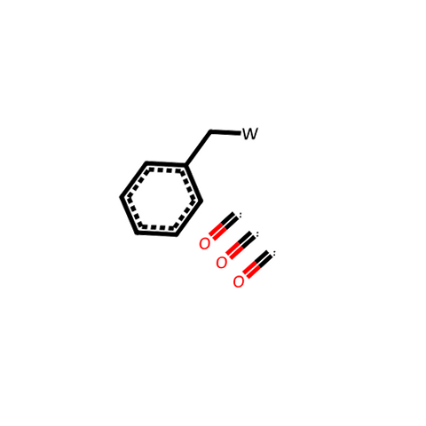 [C]=O.[C]=O.[C]=O.[W][CH2]c1ccccc1